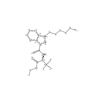 CCOC(=O)[C@@H](NC(=O)c1nn(CCCCCF)c2ccccc12)C(C)(C)C